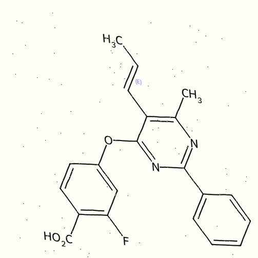 C/C=C/c1c(C)nc(-c2ccccc2)nc1Oc1ccc(C(=O)O)c(F)c1